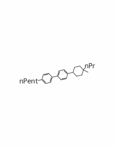 CCCCCc1ccc(-c2ccc(C3CCC(C)(CCC)CC3)cc2)cc1